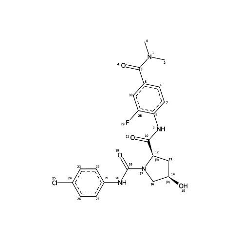 CN(C)C(=O)c1ccc(NC(=O)[C@H]2C[C@@H](O)CN2C(=O)Nc2ccc(Cl)cc2)c(F)c1